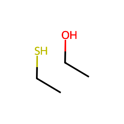 CCO.CCS